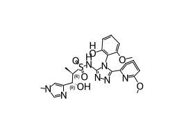 COC1=NC(c2nnc(NS(=O)(=O)[C@H](C)[C@H](O)c3cn(C)cn3)n2-c2c(O)cccc2OC)=C=C=C1